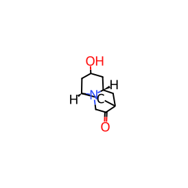 O=C1CN2[C@@H]3CC(O)C[C@@H]2CC1C3